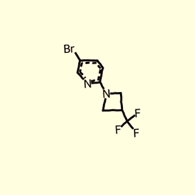 FC(F)(F)C1CN(c2ccc(Br)cn2)C1